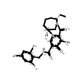 CC[C@H]1CCC[C@H]2CN1C(=O)c1c(O)c(=O)c(C(=O)NCc3c(F)cc(F)cc3F)cn12